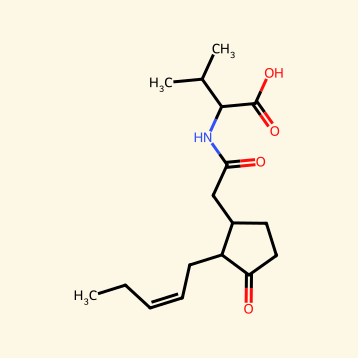 CC/C=C\CC1C(=O)CCC1CC(=O)NC(C(=O)O)C(C)C